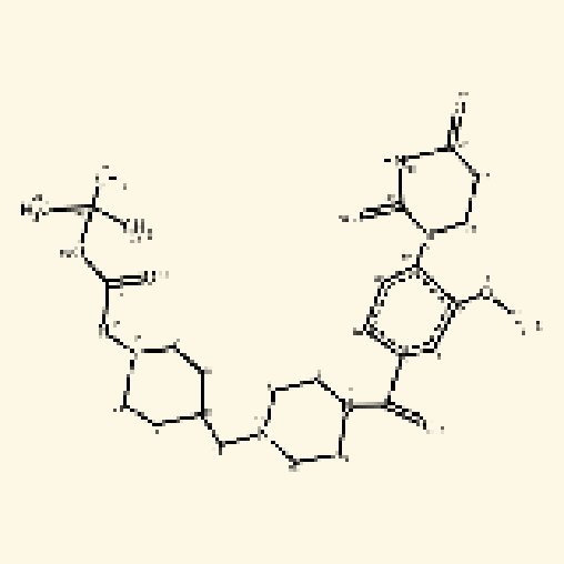 COc1cc(C(=O)N2CCN(CC3CCN(NC(=O)OC(C)(C)C)CC3)CC2)ccc1N1CCC(=O)NC1=O